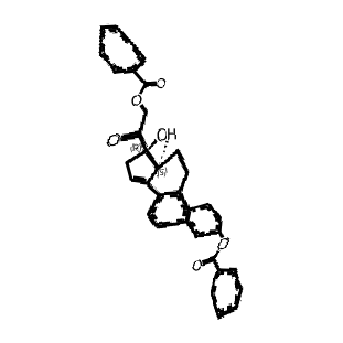 C[C@]12CCc3c(ccc4cc(OC(=O)c5ccccc5)ccc34)C1=CC[C@]2(O)C(=O)COC(=O)c1ccccc1